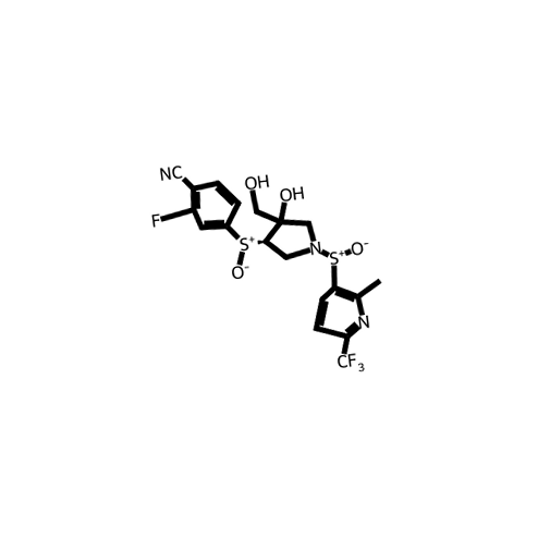 Cc1nc(C(F)(F)F)ccc1[S+]([O-])N1C[C@H]([S+]([O-])c2ccc(C#N)c(F)c2)C(O)(CO)C1